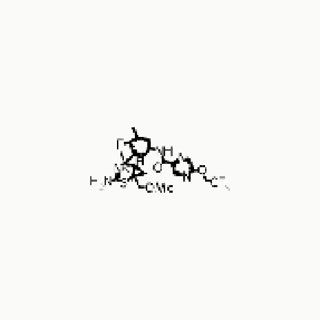 COC[C@]12C[C@H]1[C@@](C)(c1cc(NC(=O)c3cnc(OCC(F)(F)F)cn3)cc(C)c1F)N=C(N)S2